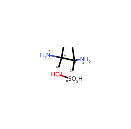 CC(C)(N)C(C)(C)N.O=S(=O)(O)O